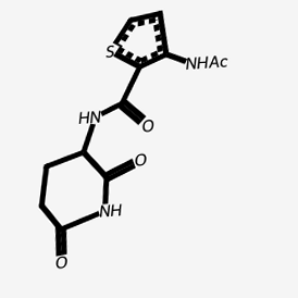 CC(=O)Nc1ccsc1C(=O)NC1CCC(=O)NC1=O